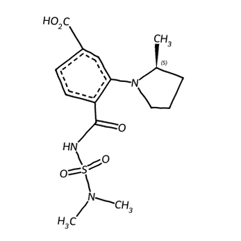 C[C@H]1CCCN1c1cc(C(=O)O)ccc1C(=O)NS(=O)(=O)N(C)C